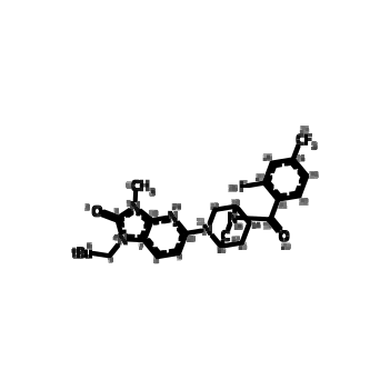 Cn1c(=O)n(CC(C)(C)C)c2ccc(N3CC4CCC3CN4C(=O)c3ccc(C(F)(F)F)cc3F)nc21